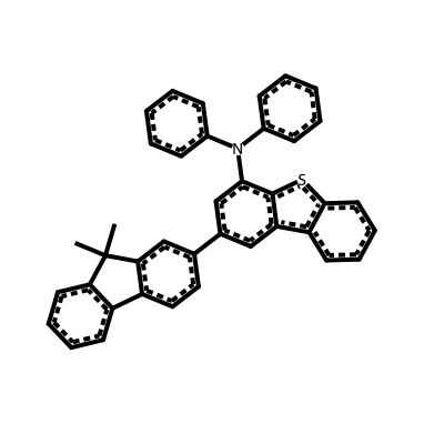 CC1(C)c2ccccc2-c2ccc(-c3cc(N(c4ccccc4)c4ccccc4)c4sc5ccccc5c4c3)cc21